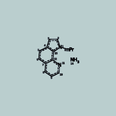 CCCn1ccc2ccc3cccnc3c21.N